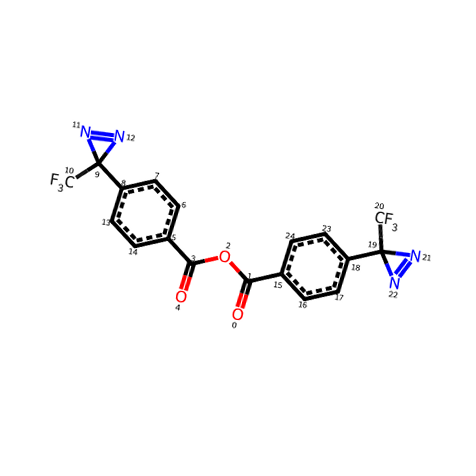 O=C(OC(=O)c1ccc(C2(C(F)(F)F)N=N2)cc1)c1ccc(C2(C(F)(F)F)N=N2)cc1